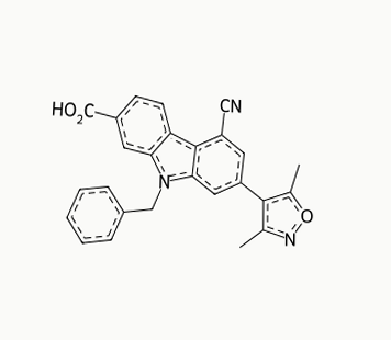 Cc1noc(C)c1-c1cc(C#N)c2c3ccc(C(=O)O)cc3n(Cc3ccccc3)c2c1